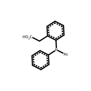 CC(=O)N(c1ccccc1)c1ccccc1CC(=O)O